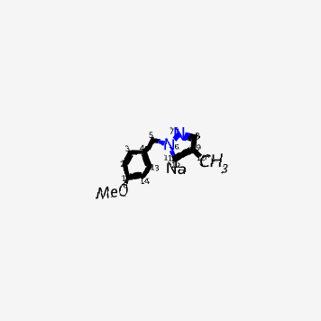 COc1ccc(Cn2ncc(C)[c]2[Na])cc1